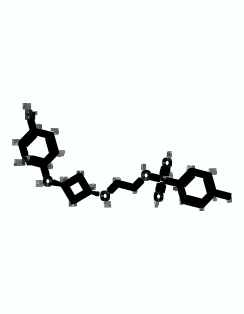 Cc1ccc(S(=O)(=O)OCCO[C@H]2C[C@H](Oc3ccc(Br)cn3)C2)cc1